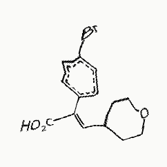 O=C(O)/C(=C/C1CCOCC1)c1ccc(Br)cc1